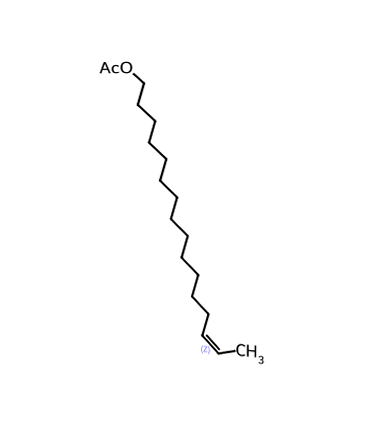 C/C=C\CCCCCCCCCCCCCOC(C)=O